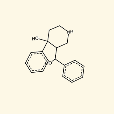 OC(c1ccccc1)C1CNCCC1(O)c1ccccc1